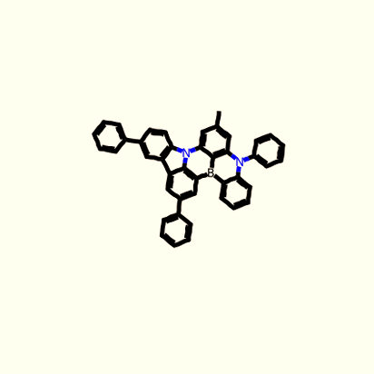 Cc1cc2c3c(c1)-n1c4ccc(-c5ccccc5)cc4c4cc(-c5ccccc5)cc(c41)B3c1ccccc1N2c1ccccc1